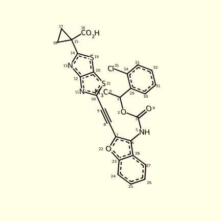 CC(OC(=O)Nc1c(C#Cc2nc3nc(C4(C(=O)O)CC4)sc3s2)oc2ccccc12)c1ccccc1Cl